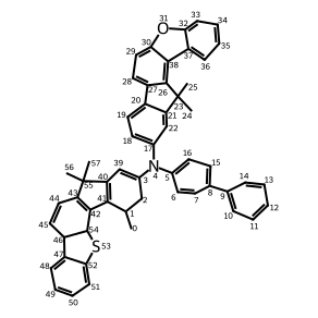 CC1CC(N(c2ccc(-c3ccccc3)cc2)c2ccc3c(c2)C(C)(C)c2c-3ccc3oc4ccccc4c23)=CC2=C1C1=C(C=CC3c4ccccc4SC13)C2(C)C